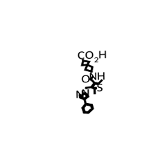 Cc1sc(C)c(C(=O)NC2CC3(C2)CC(C(=O)O)C3)c1Cn1cc(-c2ccccc2)cn1